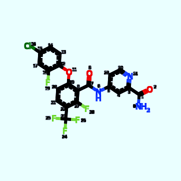 NC(=O)c1cc(NC(=O)c2c(Oc3ccc(Cl)cc3F)ccc(C(F)(F)F)c2F)ccn1